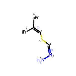 CCC/C(=C/S/C=N\N)C(C)C